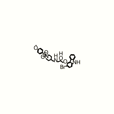 COc1ccc(S(=O)(=O)N2CCC(CNCC(O)COc3c(Br)ccc4[nH]c5ccccc5c34)CC2)cc1